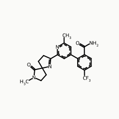 Cc1cc(-c2cc(C(F)(F)F)ccc2C(N)=O)cc(C2=NC3(CC2)CCN(C)C3=O)n1